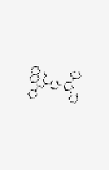 c1ccc(-c2cc(-c3ccc(-c4cc(-c5ccccn5)nc(-c5ccccn5)c4)cc3)c3ccc4cccc5ccc2c3c54)cc1